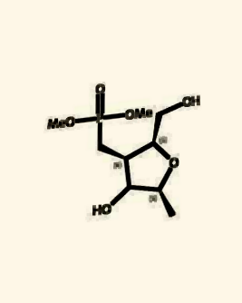 COP(=O)(C[C@@H]1C(O)[C@H](C)O[C@@H]1CO)OC